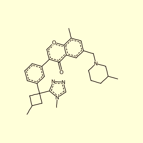 Cc1cc(CN2CCCC(C)C2)cc2c(=O)c(-c3cccc(C4(c5nncn5C)CC(C)C4)c3)coc12